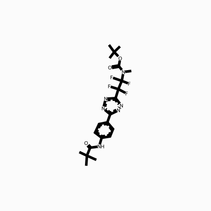 CN(C(=O)OC(C)(C)C)C(F)(F)C(F)(F)c1nnc(-c2ccc(NC(=O)C(C)(C)C)cc2)nn1